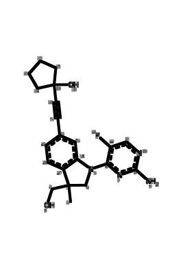 CC1(CO)CN(c2nc(N)ncc2F)c2cc(C#CC3(O)CCCC3)ccc21